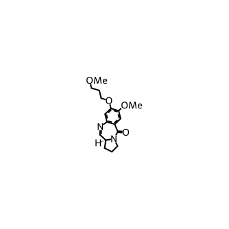 COCCCOc1cc2c(cc1OC)C(=O)N1CCC[C@H]1C=N2